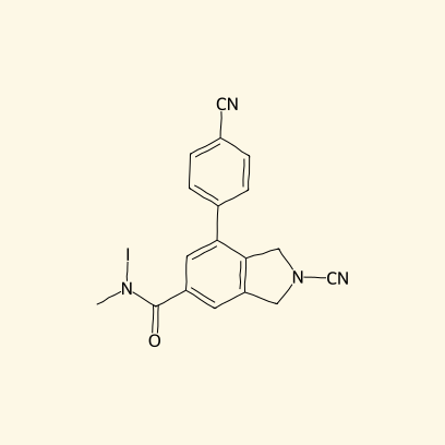 CN(I)C(=O)c1cc2c(c(-c3ccc(C#N)cc3)c1)CN(C#N)C2